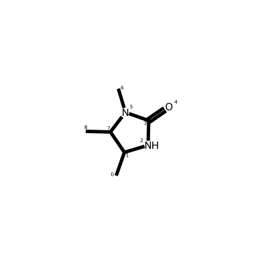 CC1NC(=O)N(C)C1C